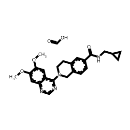 COc1cc2ncnc(N3CCc4cc(C(=O)NCC5CC5)ccc4C3)c2cc1OC.O=CO